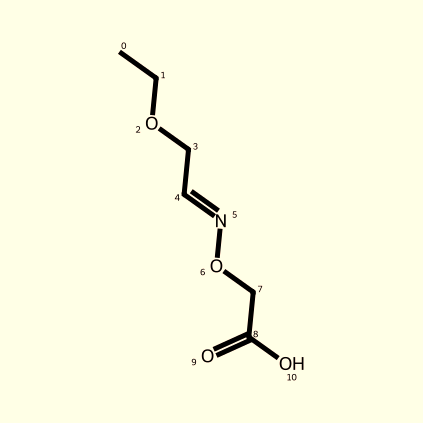 CCOCC=NOCC(=O)O